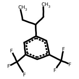 CCC(CC)c1cc(C(F)(F)F)cc(C(F)(F)F)c1